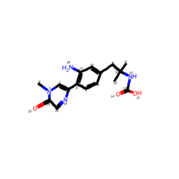 Cn1cc(-c2ccc(CC(C)(C)NC(=O)O)cc2N)ncc1=O